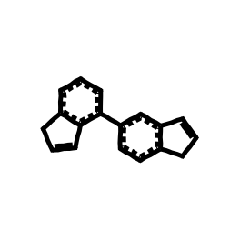 C1=Cc2cc(-c3cccc4c3C=CC4)ccc2C1